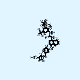 COc1c(NC(=O)Nc2ccc(Oc3ccnc(CN4CC[C@H](O)C4)c3)c3ccccc23)cc(C(C)(C)C)cc1NS(C)(=O)=O